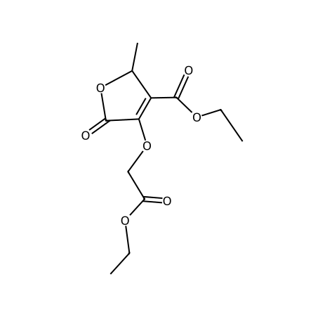 CCOC(=O)COC1=C(C(=O)OCC)C(C)OC1=O